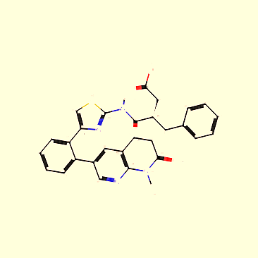 CN(C(=O)[C@@H](CC(=O)O)Cc1ccccc1)c1nc(-c2ccccc2-c2cnc3c(c2)CCC(=O)N3C)cs1